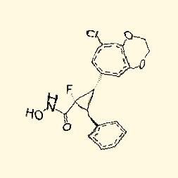 O=C(NO)[C@]1(F)[C@H](c2ccccc2)[C@H]1c1cc(Cl)c2c(c1)OCCO2